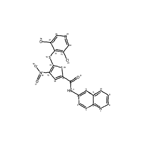 O=C(Nc1ccc2ncccc2c1)c1cc([N+](=O)[O-])c(Sc2c(Cl)cncc2Cl)s1